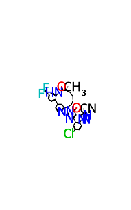 C[C@@H]1CCCC[C@H](n2cnc(-c3cc(Cl)ccc3-n3cc(C#N)nn3)cc2=O)c2cc(ccn2)-c2ccc(C(F)F)cc2NC1=O